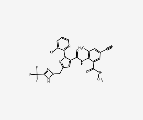 CNC(=O)c1cc(C#N)cc(C)c1NC(=O)c1cc(Cn2nc(C(F)(F)F)[nH]2)nn1-c1ncccc1Cl